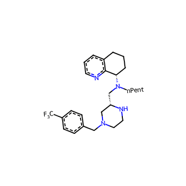 CCCCCN(C[C@H]1CN(Cc2ccc(C(F)(F)F)cc2)CCN1)[C@H]1CCCc2cccnc21